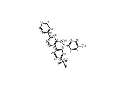 Fc1ccc(CNc2nc(-c3ccccn3)nnc2-c2ccc(C(F)(F)F)cc2)cc1